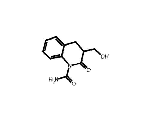 NC(=O)N1C(=O)C(CO)Cc2cc[c]cc21